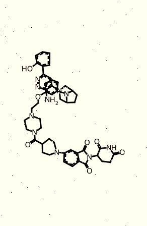 Nc1nnc(-c2ccccc2O)cc1N1CC2CCC(C1)N2c1cccc(OCCN2CCN(C(=O)C3CCN(c4ccc5c(c4)C(=O)N(C4CCC(=O)NC4=O)C5=O)CC3)CC2)c1